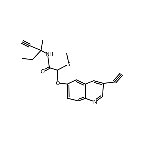 C#Cc1cnc2ccc(OC(SC)C(=O)NC(C)(C#C)CC)cc2c1